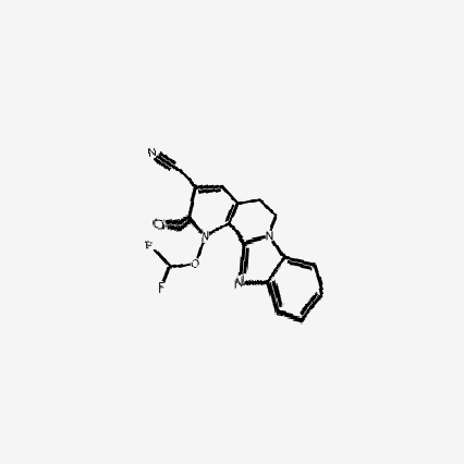 N#Cc1cc2c(n(OC(F)F)c1=O)-c1nc3ccccc3n1CC2